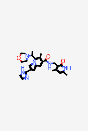 Cc1cc(C)c(CNC(=O)c2cc3cc(-c4ncc[nH]4)cn3c(C(C)N3CCOCC3)c2C)c(=O)[nH]1